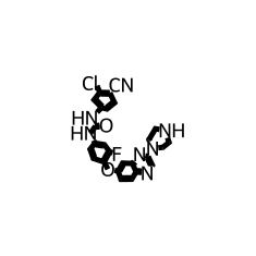 N#Cc1ccc(NC(=O)Nc2ccc(Oc3ccc4ncc(N5CCNCC5)nc4c3)c(F)c2)cc1Cl